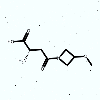 COC1CN(C(=O)C[C@H](N)C(=O)O)C1